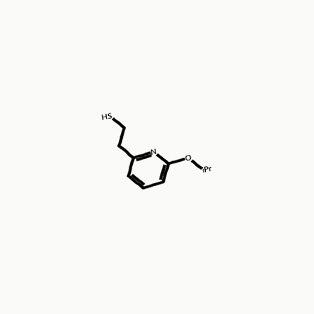 CC(C)Oc1cccc(CCS)n1